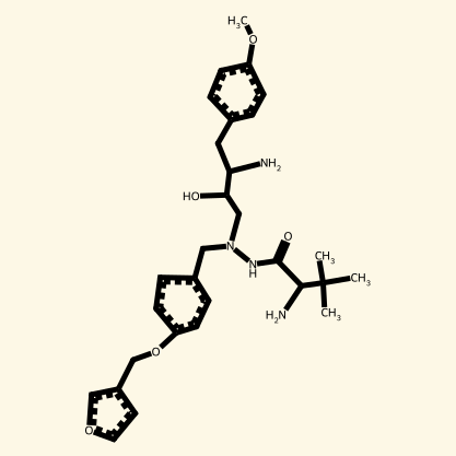 COc1ccc(CC(N)C(O)CN(Cc2ccc(OCc3ccoc3)cc2)NC(=O)C(N)C(C)(C)C)cc1